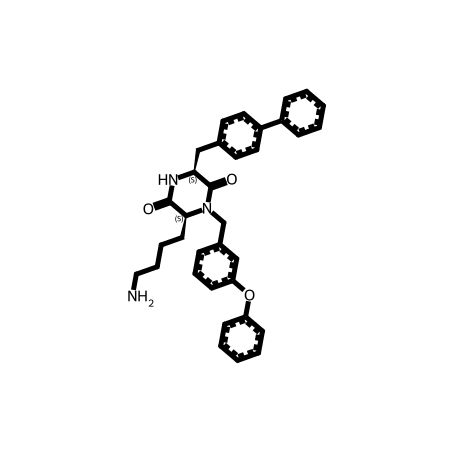 NCCCC[C@H]1C(=O)N[C@@H](Cc2ccc(-c3ccccc3)cc2)C(=O)N1Cc1cccc(Oc2ccccc2)c1